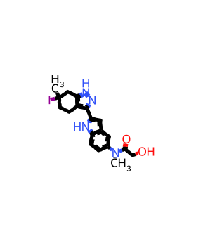 CN(C(=O)CO)c1ccc2[nH]c(-c3n[nH]c4c3CCC(C)(I)C4)cc2c1